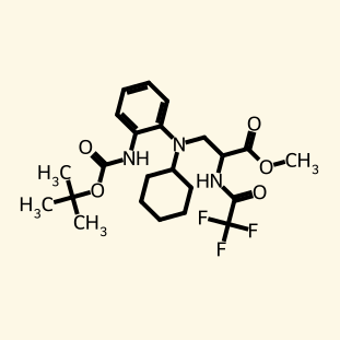 COC(=O)C(CN(c1ccccc1NC(=O)OC(C)(C)C)C1CCCCC1)NC(=O)C(F)(F)F